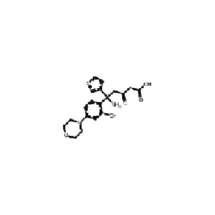 NC(CC(=O)CC(=O)O)(c1ccsc1)c1ccc(N2CCOCC2)cc1O